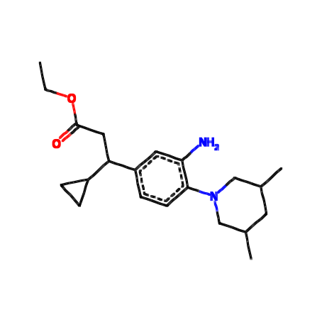 CCOC(=O)CC(c1ccc(N2CC(C)CC(C)C2)c(N)c1)C1CC1